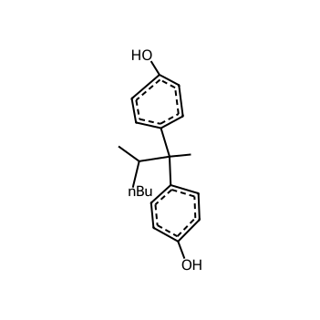 CCCCC(C)C(C)(c1ccc(O)cc1)c1ccc(O)cc1